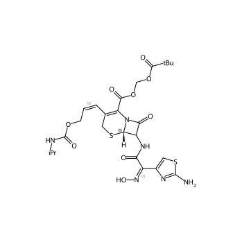 CC(C)NC(=O)OC/C=C\C1=C(C(=O)OCOC(=O)C(C)(C)C)N2C(=O)C(NC(=O)/C(=N\O)c3csc(N)n3)[C@@H]2SC1